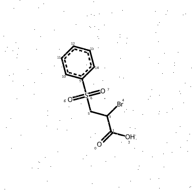 O=C(O)C(Br)CS(=O)(=O)c1ccccc1